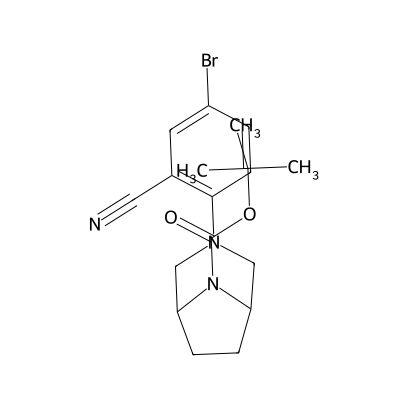 CC(C)(C)OC(=O)N1C2CCC1CN(c1ccc(Br)cc1C#N)C2